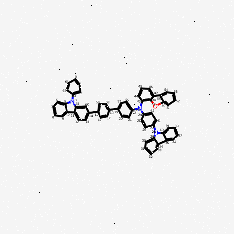 c1ccc(-n2c3ccccc3c3ccc(-c4ccc(-c5ccc(N(c6ccc(-n7c8ccccc8c8ccccc87)cc6)c6cccc7c6oc6ccccc67)cc5)cc4)cc32)cc1